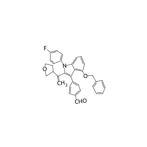 C=C(c1c(-c2ccc(C=O)cc2)c2c(OCc3ccccc3)cccc2n1-c1ccc(F)cc1)C1CCOC1